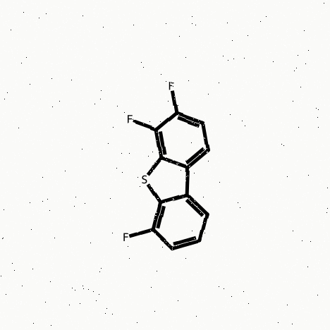 Fc1ccc2c(sc3c(F)cccc32)c1F